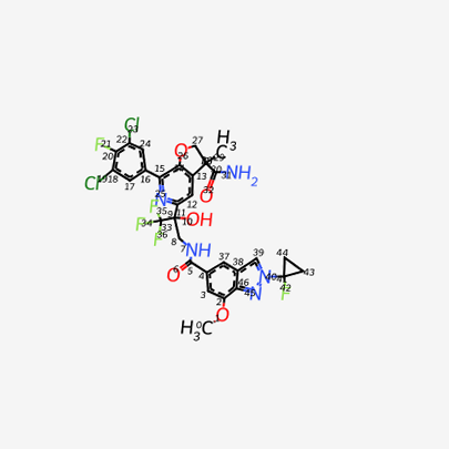 COc1cc(C(=O)NCC(O)(c2cc3c(c(-c4cc(Cl)c(F)c(Cl)c4)n2)OC[C@]3(C)C(N)=O)C(F)(F)F)cc2cn(C3(F)CC3)nc12